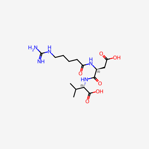 CC(C)[C@H](NC(=O)[C@H](CC(=O)O)NC(=O)CCCCNC(=N)N)C(=O)O